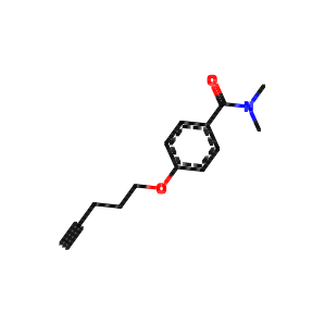 C#CCCCOc1ccc(C(=O)N(C)C)cc1